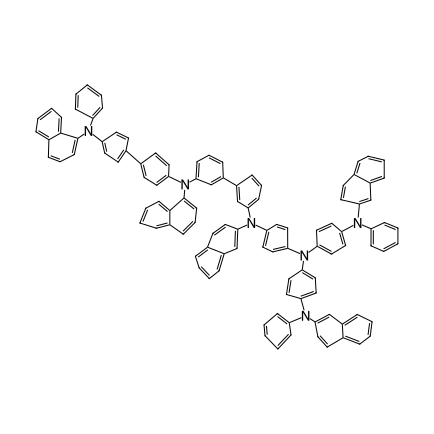 c1ccc(N(c2ccc(N(c3ccc(N(c4ccccc4)c4ccc5ccccc5c4)cc3)c3ccc(N(c4cccc(-c5cccc(N(c6ccc(-c7ccc(N(c8ccccc8)c8cccc9ccccc89)cc7)cc6)c6cccc7ccccc67)c5)c4)c4ccc5ccccc5c4)cc3)cc2)c2ccc3ccccc3c2)cc1